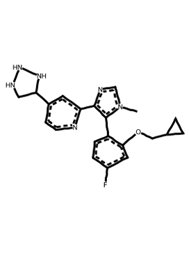 Cn1cnc(-c2cc(C3CNNN3)ccn2)c1-c1ccc(F)cc1OCC1CC1